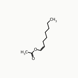 CCCCCC/C=C\OC(C)=O